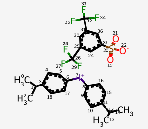 CC(C)c1ccc([I+]c2ccc(C(C)C)cc2)cc1.O=S(=O)([O-])c1cc(C(F)(F)F)cc(C(F)(F)F)c1